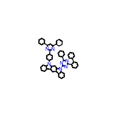 C1=CCCC(c2cc(-c3ccccc3)nc(-c3ccc(-n4c5ccccc5c5cc6c7ccccc7n(-c7nc(-c8ccccc8)nc(-c8ccccc8-c8ccccc8)n7)c6cc54)cc3)n2)=C1